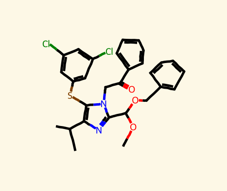 COC(OCc1ccccc1)c1nc(C(C)C)c(Sc2cc(Cl)cc(Cl)c2)n1CC(=O)c1ccccc1